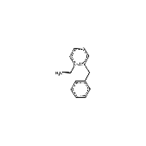 C=C[n+]1ccccc1Cc1ccccc1